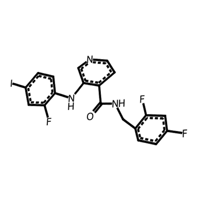 O=C(NCc1ccc(F)cc1F)c1ccncc1Nc1ccc(I)cc1F